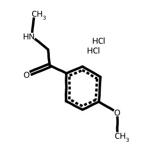 CNCC(=O)c1ccc(OC)cc1.Cl.Cl